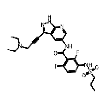 CCCS(=O)(=O)Nc1ccc(F)c(C(=O)Nc2cnc3[nH]nc(C#CCN(CC)CC)c3c2)c1F